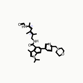 C/C(=C/C(C)=C(\C)CNC(=O)c1cc(-c2ccc(CN3CCOCC3)nc2)cc2c1c(C)cn2C(C)C)NC=O